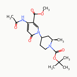 COC(=O)c1cn(C2CCN(C(=O)OC(C)(C)C)[C@H](C)C2)c(=O)cc1NC(C)=O